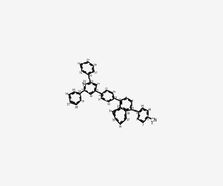 N#Cc1ccc(-c2ccc(-c3ccc(-c4cc(-c5ccccc5)nc(-c5ccccc5)c4)cc3)c3ccccc23)cc1